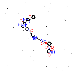 NC(=O)c1c(-c2ccc(Oc3ccccc3)cc2)nn2c1NCC[C@H]2C1CCN(C(=O)CCCc2cn(CCCCNC(=O)COc3cccc4c3C(=O)N(C3CCC(=O)NC3=O)C4=O)nn2)CC1